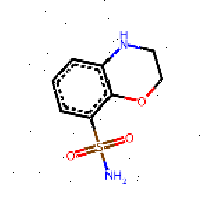 NS(=O)(=O)c1cccc2c1OCCN2